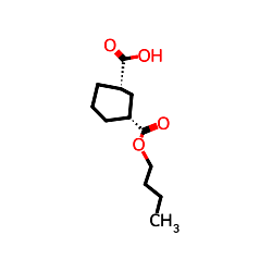 CCCCOC(=O)[C@@H]1CCC[C@H](C(=O)O)C1